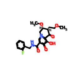 COCC[C@@H]1C(=O)c2c(O)c(=O)c(C(=O)NCc3ccccc3F)cn2C[C@@H]1OC